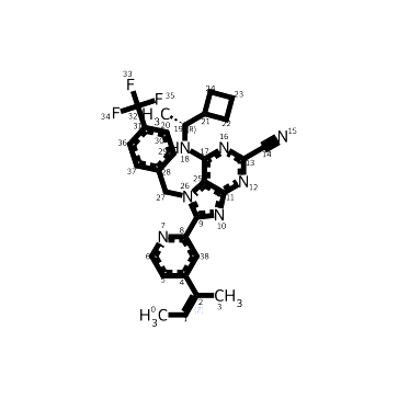 C/C=C(/C)c1ccnc(-c2nc3nc(C#N)nc(N[C@H](C)C4CCC4)c3n2Cc2ccc(C(F)(F)F)cc2)c1